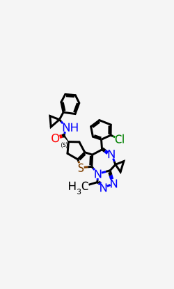 Cc1nnc2n1-c1sc3c(c1C(c1ccccc1Cl)=NC21CC1)C[C@H](C(=O)NC1(c2ccccc2)CC1)C3